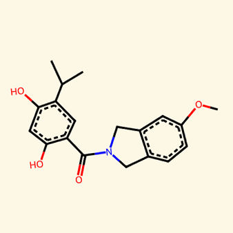 COc1ccc2c(c1)CN(C(=O)c1cc(C(C)C)c(O)cc1O)C2